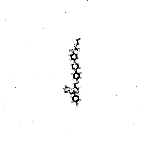 CCCOC(=O)Nc1ccc(N2CCN(c3ccc(OCC4COC(Cn5cncn5)(c5ccc(Cl)cc5)O4)cc3)CC2)cc1